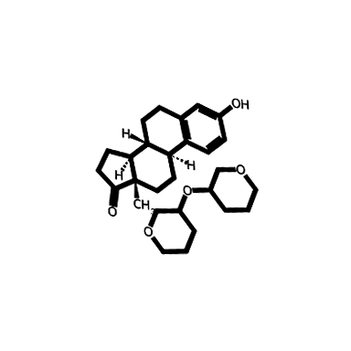 C1COCC(OC2CCCOC2)C1.C[C@]12CC[C@@H]3c4ccc(O)cc4CC[C@H]3[C@@H]1CCC2=O